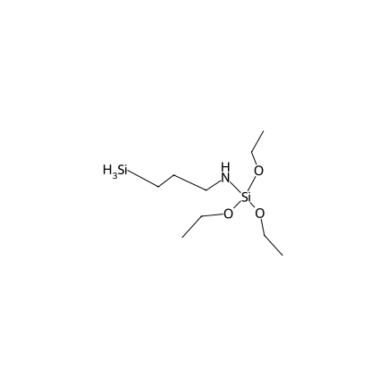 CCO[Si](NCCC[SiH3])(OCC)OCC